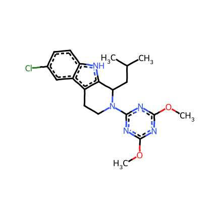 COc1nc(OC)nc(N2CCc3c([nH]c4ccc(Cl)cc34)C2CC(C)C)n1